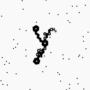 CCOC(=O)COc1ccc(OCCc2nc(-c3ccccc3)oc2C)cc1CCCCCc1ccccc1